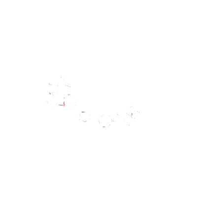 CC(C)(C)OC(=O)N1CCCC1(C)C(=O)N1CCC[C@@]1(C(N)=O)c1ccc(-c2cnc(-c3ccc([C@]4(C(N)=O)CCCN4C(=O)C4(C)CCCN4C(=O)OC(C)(C)C)cc3)o2)cc1